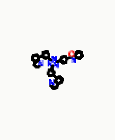 c1cc(-c2nc(-c3ccc(-c4nc5ccccc5o4)cc3)nc(-c3cccc(-c4cccc5cccnc45)c3)n2)cc(-c2cccc3cccnc23)c1